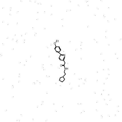 CCOc1ccc(-c2ccc(CC(=O)NCCC3CCCC3)cn2)cc1